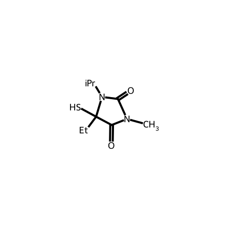 CCC1(S)C(=O)N(C)C(=O)N1C(C)C